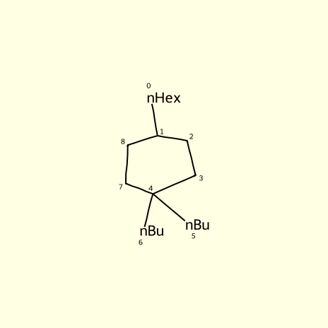 CCCCCCC1CCC(CCCC)(CCCC)CC1